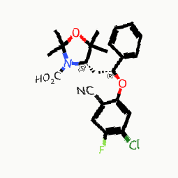 CC1(C)OC(C)(C)N(C(=O)O)[C@H]1C[C@@H](Oc1cc(Cl)c(F)cc1C#N)c1ccccc1